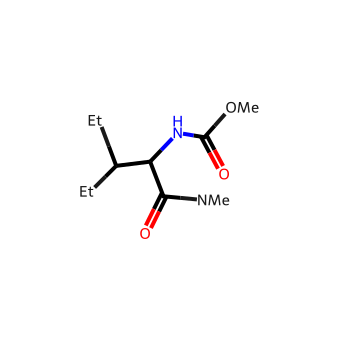 CCC(CC)C(NC(=O)OC)C(=O)NC